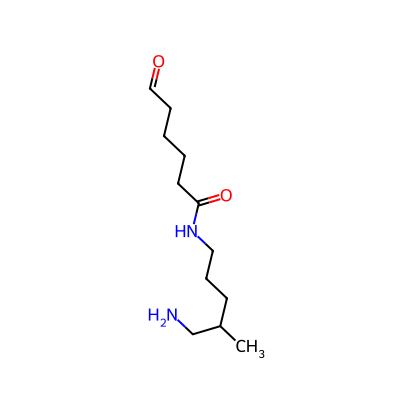 CC(CN)CCCNC(=O)CCCCC=O